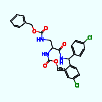 CC(C)(C)OC(=O)NC(CNC(=O)OCc1ccccc1)C(=O)NC(c1ccc(Cl)cc1)c1ccc(Cl)cc1